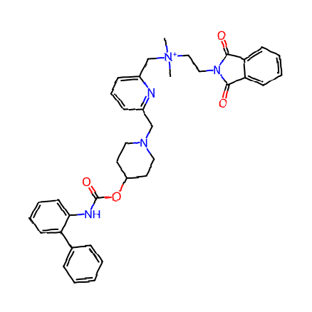 C[N+](C)(CCN1C(=O)c2ccccc2C1=O)Cc1cccc(CN2CCC(OC(=O)Nc3ccccc3-c3ccccc3)CC2)n1